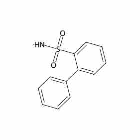 [NH]S(=O)(=O)c1ccccc1-c1ccccc1